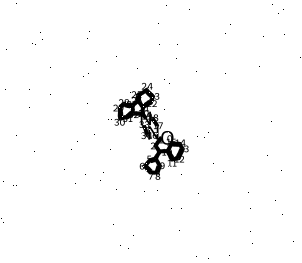 O=C(CC(c1ccccc1)c1ccccc1)N1CCN(C2c3ccccc3-c3ccccc32)CC1